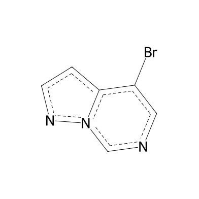 Brc1cncn2nccc12